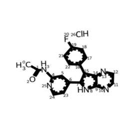 CC(=O)Nc1cc(-c2[nH]c3nccnc3c2-c2ccc(F)cc2)ccn1.Cl